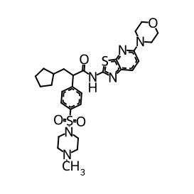 CN1CCN(S(=O)(=O)c2ccc(C(CC3CCCC3)C(=O)Nc3nc4ccc(N5CCOCC5)nc4s3)cc2)CC1